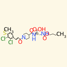 CCCCOC(=O)NC[C@H](NC(=O)C1CCN(C(=O)C=Cc2ccc(SC)c(Cl)c2Cl)CC1)C(=O)O